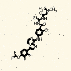 CCc1cc(Nc2nccn3c(-c4ccc(OC(F)F)c(F)c4F)cnc23)ccc1C(=O)NC(CC)NC(=O)CN(C)C